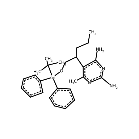 CCCC(CO[Si](c1ccccc1)(c1ccccc1)C(C)(C)C)c1c(C)nc(N)nc1N